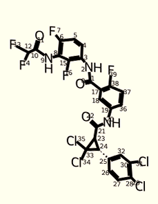 O=C(Nc1ccc(F)c(NC(=O)C(F)F)c1F)c1cc(NC(=O)C2[C@H](c3ccc(Cl)c(Cl)c3)C2(Cl)Cl)ccc1F